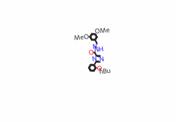 CCCCOc1ccccc1-c1cncc(C(=O)N/N=C/c2cc(OC)cc(OC)c2)n1